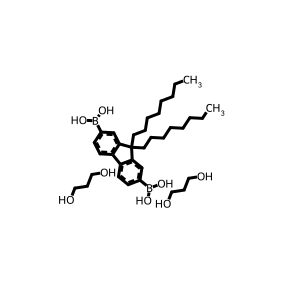 CCCCCCCCC1(CCCCCCCC)c2cc(B(O)O)ccc2-c2ccc(B(O)O)cc21.OCCCO.OCCCO